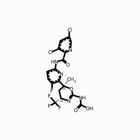 C[C@@]1(c2nc(NC(=O)c3ncc(Cl)cc3Cl)ccc2F)C[C@@H](C(F)(F)F)N=C(NC(=O)O)O1